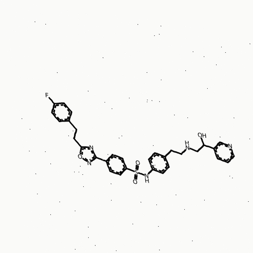 O=S(=O)(Nc1ccc(CCNCC(O)c2cccnc2)cc1)c1ccc(-c2noc(CCc3ccc(F)cc3)n2)cc1